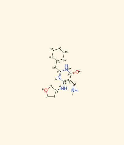 N=Cc1c(NC2CCOC2)nc(CC2CCCCC2)[nH]c1=O